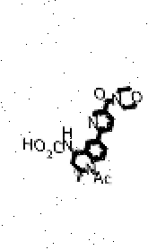 CC(=O)N1c2ccc(-c3ccc(C(=O)N4CCOCC4)cn3)cc2[C@H](NC(=O)O)C[C@@H]1C